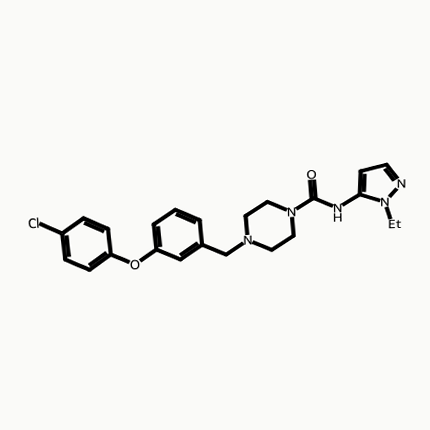 CCn1nccc1NC(=O)N1CCN(Cc2cccc(Oc3ccc(Cl)cc3)c2)CC1